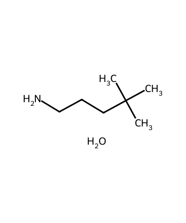 CC(C)(C)CCCN.O